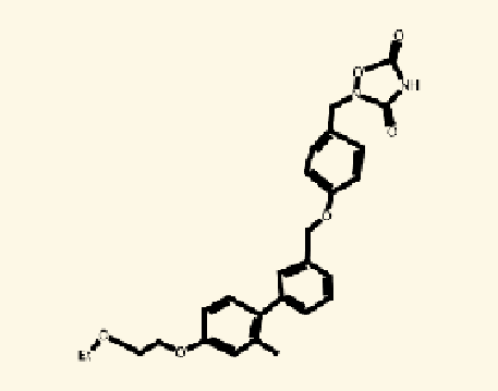 CCOCCOc1ccc(-c2cccc(COc3ccc(Cn4oc(=O)[nH]c4=O)cc3)c2)c(C)c1